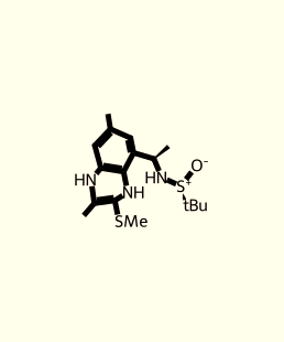 CSC1=C(C)Nc2cc(C)cc([C@@H](C)N[S@+]([O-])C(C)(C)C)c2N1